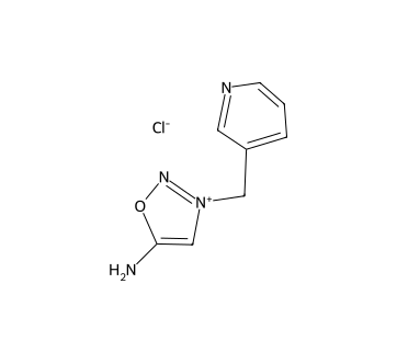 Nc1c[n+](Cc2cccnc2)no1.[Cl-]